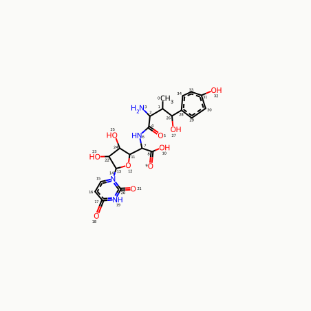 CC(C(N)C(=O)NC(C(=O)O)C1OC(n2ccc(=O)[nH]c2=O)C(O)C1O)C(O)c1ccc(O)cc1